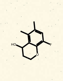 Cc1cc(F)c2c(c1C)C(O)CCO2